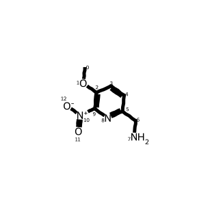 COc1ccc(CN)nc1[N+](=O)[O-]